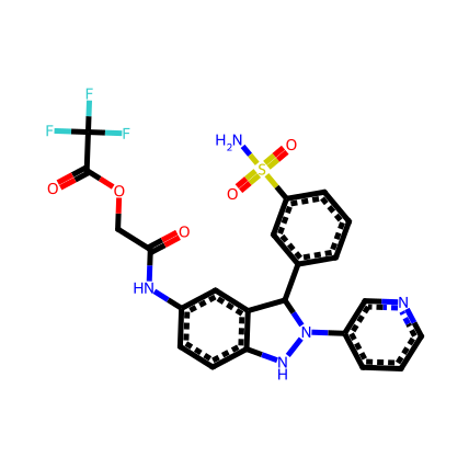 NS(=O)(=O)c1cccc(C2c3cc(NC(=O)COC(=O)C(F)(F)F)ccc3NN2c2cccnc2)c1